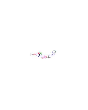 C[C@@H](CONC(=O)CC1CCN(c2ncc3cc(F)ccc3n2)CC1)Nc1cnn(COCC[Si](C)(C)C)c(=O)c1C(F)(F)F